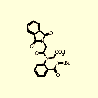 CC(C)(C)OC(=O)c1ccccc1N(CC(=O)O)C(=O)CN1C(=O)c2ccccc2C1=O